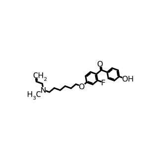 C=CCN(C)CCCCCCOc1ccc(C(=O)c2ccc(O)cc2)c(F)c1